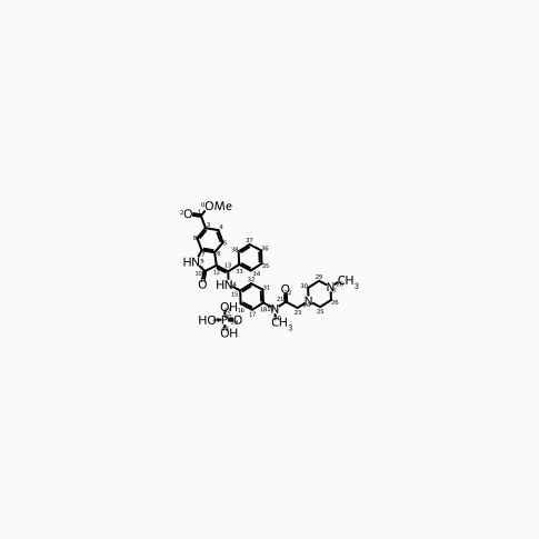 COC(=O)c1ccc2c(c1)NC(=O)/C2=C(\Nc1ccc(N(C)C(=O)CN2CCN(C)CC2)cc1)c1ccccc1.O=P(O)(O)O